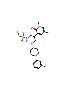 Cc1cc(C(CNS(=O)(=O)CF)CO[C@H]2CC[C@@H](c3cccc(F)c3)CC2)c(=O)n(C)c1